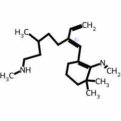 C=C/C(=C/C1=C(N=C)C(C)(C)CCC1)CCC(C)CCNC